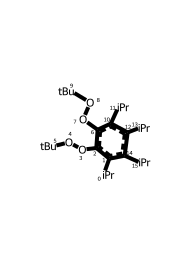 CC(C)c1c(OOC(C)(C)C)c(OOC(C)(C)C)c(C(C)C)c(C(C)C)c1C(C)C